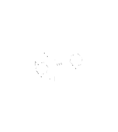 Cc1cccnc1C#Cc1c(N)ncnc1Cl